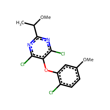 COc1ccc(Cl)c(Oc2c(Cl)nc(C(C)OC)nc2Cl)c1